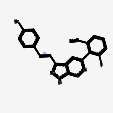 COc1cccc(F)c1-c1cc2c(/C=C/c3ccc(Br)cc3)n[nH]c2cn1